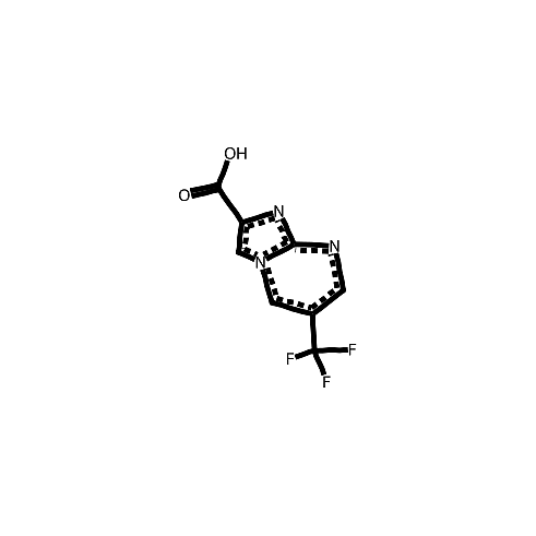 O=C(O)c1cn2cc(C(F)(F)F)cnc2n1